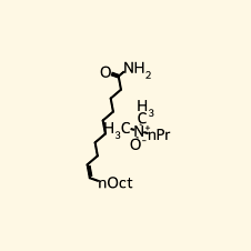 CCCCCCCC/C=C\CCCCCCCC(N)=O.CCC[N+](C)(C)[O-]